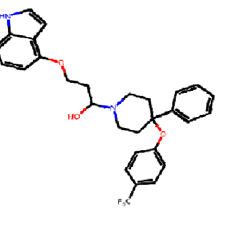 OC(CCOc1cccc2[nH]ccc12)N1CCC(Oc2ccc(C(F)(F)F)cc2)(c2ccccc2)CC1